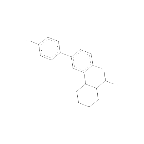 Oc1ccc(-c2ccc3c(c2)C2CCCCC2C(O)O3)cc1